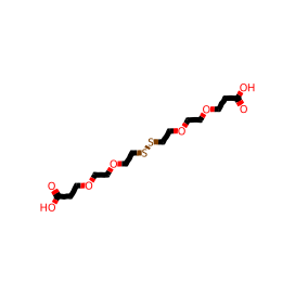 O=C(O)CCOCCOCCSSCCOCCOCCC(=O)O